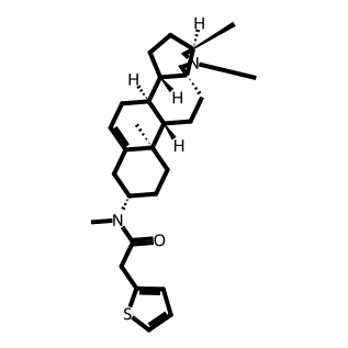 C[C@H]1[C@H]2CC[C@H]3[C@@H]4CC=C5C[C@@H](N(C)C(=O)Cc6cccs6)CC[C@]5(C)[C@H]4CC[C@]23CN1C